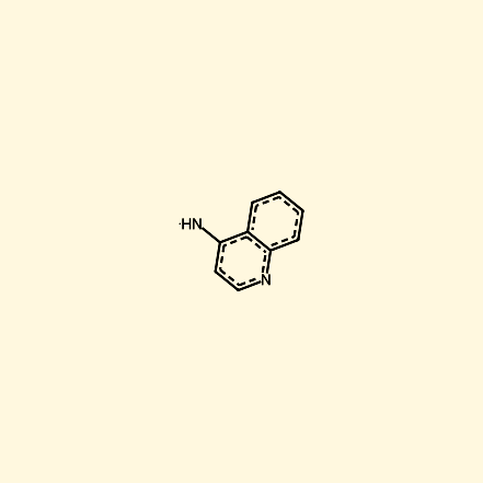 [NH]c1ccnc2ccccc12